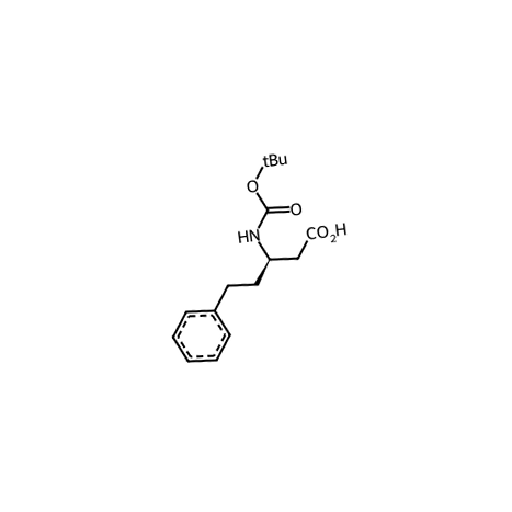 CC(C)(C)OC(=O)N[C@H](CCc1ccccc1)CC(=O)O